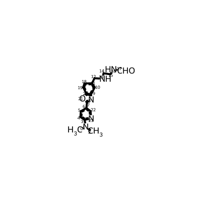 CN(C)c1ccc(-c2nc3cc(CNCCNC=O)ccc3o2)cn1